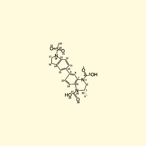 C[C@H]1CN(C(=O)O)c2cc(-c3ccc4c(c3)CCN4S(C)(=O)=O)ccc2N1C(=O)O